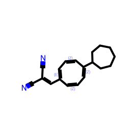 N#CC(C#N)=CC1=C/C=C\C(C2CCCCCC2)=C/C=C\1